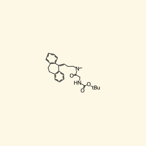 CN(CCC=C1c2ccccc2CCc2ccccc21)C(=O)CNC(=O)OC(C)(C)C